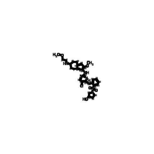 COCCNC1CCc2cc(Nc3ncc(Cl)c(Nc4ccccc4S(=O)(=O)N4CCC(O)C4)n3)c(OC)cc2CC1